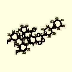 O=C(Oc1c2n(ncc1=O)[C@@H]([C@H](c1cccc(F)c1)c1cccc(F)c1F)[C@H]1CCCN1C2=O)N1CCC(N2CCCCC2)CC1